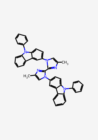 Cc1cn(-c2ccc3c(c2)c2ccccc2n3-c2ccccc2)c(-c2nc(C)cn2-c2ccc3c(c2)c2ccccc2n3-c2ccccc2)n1